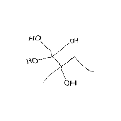 CCC(C)(O)C(O)(O)O